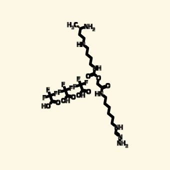 C[C@H](N)CCNCCCCNC(=O)OCC(=O)NCCCCCCNC=NN.O=C(O)C(F)(F)F.O=C(O)C(F)(F)F.O=C(O)C(F)(F)F